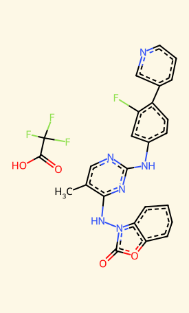 Cc1cnc(Nc2ccc(-c3cccnc3)c(F)c2)nc1Nn1c(=O)oc2ccccc21.O=C(O)C(F)(F)F